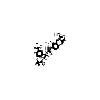 Cc1coc(=N)n1Cc1cccc(NC(=S)NC(C)(COC(=O)C(C)(C)C)c2cccc(C(F)(F)F)c2)c1N